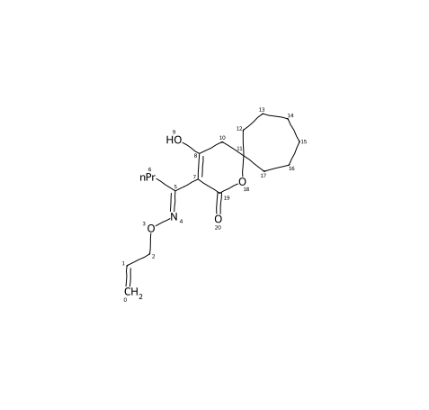 C=CCON=C(CCC)C1=C(O)CC2(CCCCCC2)OC1=O